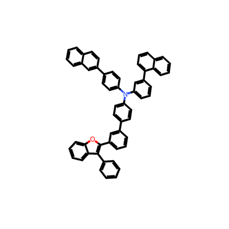 c1ccc(-c2c(-c3cccc(-c4ccc(N(c5ccc(-c6ccc7ccccc7c6)cc5)c5cccc(-c6cccc7ccccc67)c5)cc4)c3)oc3ccccc23)cc1